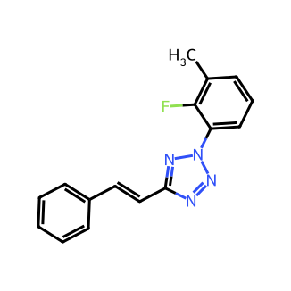 Cc1cccc(-n2nnc(C=Cc3ccccc3)n2)c1F